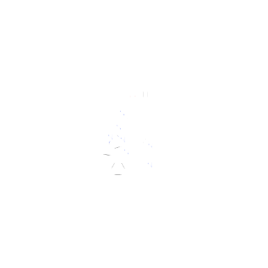 COCCN1CCN(c2nc(N3CCC(CN(C)C4CCN(C)C4)CC3)c3c(-c4ccccc4)csc3n2)CC1